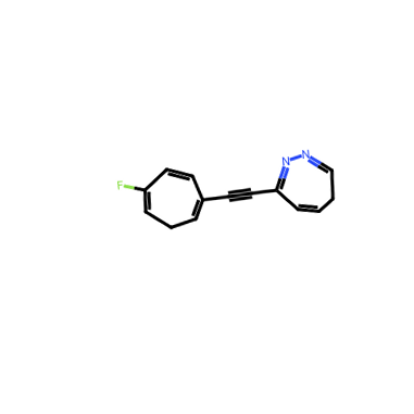 FC1=CCC=C(C#CC2=NN=CCC=C2)C=C1